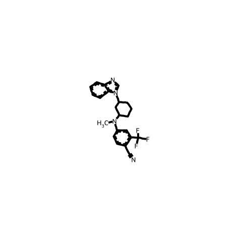 CN(c1ccc(C#N)c(C(F)(F)F)c1)C1CCCC(n2cnc3ccccc32)C1